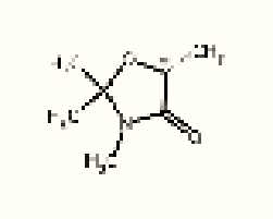 C[C@H]1OC(C)(C)N(C)C1=O